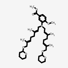 COC(=O)c1ccc(OC)c(N(C/C=C(\C)CC/C=C(\C)COC2CCCCO2)C/C=C(\C)CC/C=C(\C)COC2CCCCO2)c1